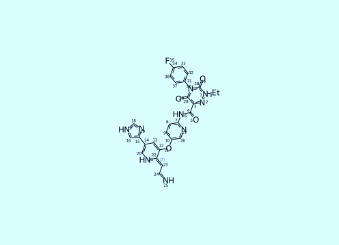 CCn1nc(C(=O)Nc2ccc(OC3=CC(c4c[nH]cn4)=CN/C3=C\C=N)cn2)c(=O)n(-c2ccc(F)cc2)c1=O